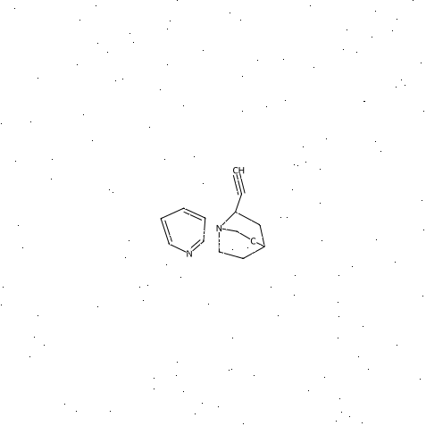 C#CC1CC2CCN1CC2.c1ccncc1